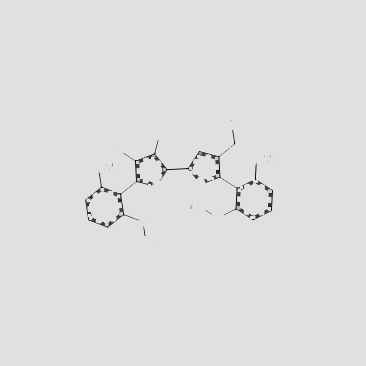 COc1cccc(OC(C)C)c1-c1sc(-c2sc(-c3c(OC)cccc3OC(C)C)c(C)c2C)cc1CC(C)=O